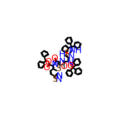 O=C(OC(c1ccccc1)c1ccccc1)C1=C(/C=C\c2cnns2)CS[C@H]2C(NC(=O)/C(=N\OC(c3ccccc3)(c3ccccc3)c3ccccc3)c3csc(NC(c4ccccc4)(c4ccccc4)c4ccccc4)n3)C(=O)N12